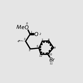 COC(=O)[C@@H](C)Cc1cccc(Br)c1